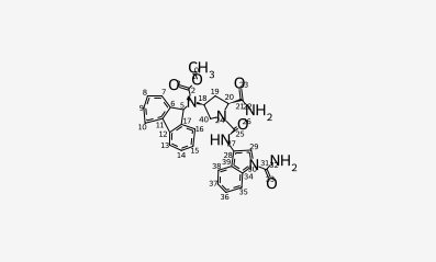 COC(=O)N(C1c2ccccc2-c2ccccc21)[C@H]1C[C@@H](C(N)=O)N(C(=O)Nc2cn(C(N)=O)c3ccccc23)C1